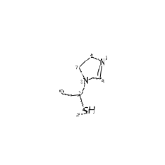 CC(S)N1C=NCC1